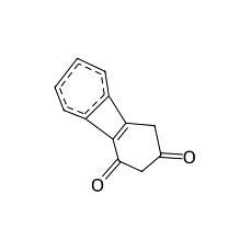 O=C1CC(=O)C2=C(C1)c1ccccc12